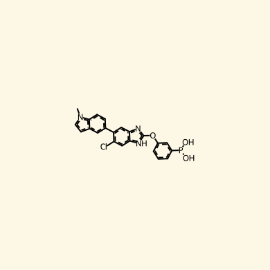 Cn1ccc2cc(-c3cc4nc(Oc5cccc(P(O)O)c5)[nH]c4cc3Cl)ccc21